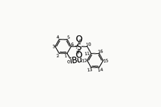 CCC(C)c1ccccc1S(=O)(=O)Cc1ccccc1